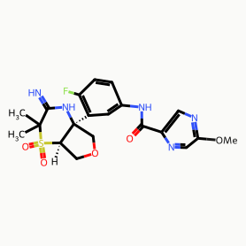 COc1cnc(C(=O)Nc2ccc(F)c([C@]34COC[C@H]3S(=O)(=O)C(C)(C)C(=N)N4)c2)cn1